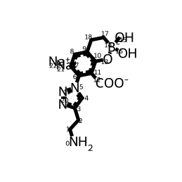 NCCc1cn(-c2ccc3c(c2C(=O)[O-])O[B-](O)(O)CC3)nn1.[Na+].[Na+]